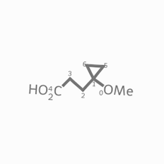 COC1(CCC(=O)O)CC1